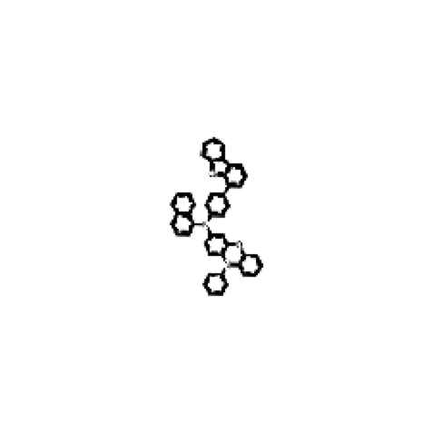 c1ccc(N2c3ccccc3Oc3cc(N(c4ccc(-c5cccc6c5oc5ccccc56)cc4)c4cccc5ccccc45)ccc32)cc1